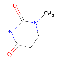 CN1CCC(=O)[N]C1=O